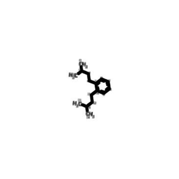 CC(C)CCc1c[c]ccc1CCC(C)C